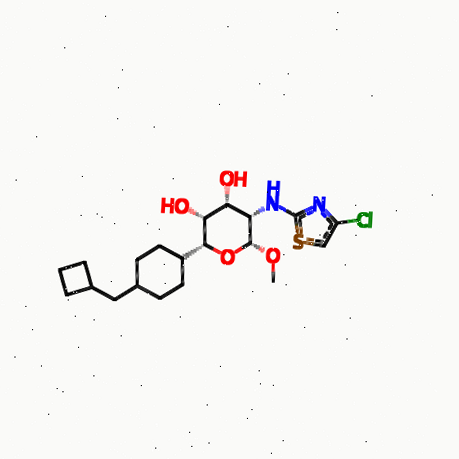 CO[C@@H]1O[C@H](C2CCC(CC3CCC3)CC2)[C@H](O)[C@H](O)[C@@H]1Nc1nc(Cl)cs1